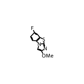 COc1cn2c(n1)sc1cc(F)ccc12